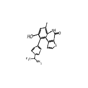 Cc1cc(O)c(-c2ccc(C(N)C(F)(F)F)cc2)c2c1[nH]c(=O)c1sccc12